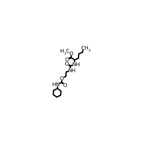 CCCCC(NC(=O)NCCOC(=O)NC1CCCCC1)C(=O)OC